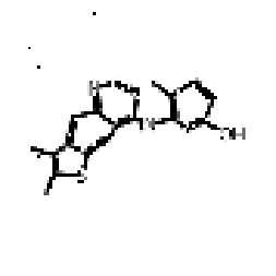 Cc1ccc(O)cc1Nc1ccnc2cc3c(C)c(C)sc3cc12